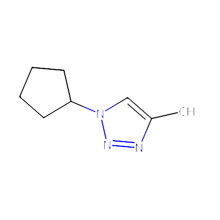 Cc1cn(C2CCCC2)nn1